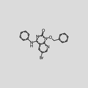 O=c1nc(Nc2ccccc2)c2cc(Br)cnc2n1OCc1ccccc1